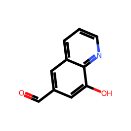 O=Cc1cc(O)c2ncccc2c1